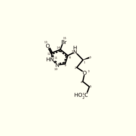 C[C@@H](COCCC(=O)O)Nc1cn[nH]c(=O)c1Br